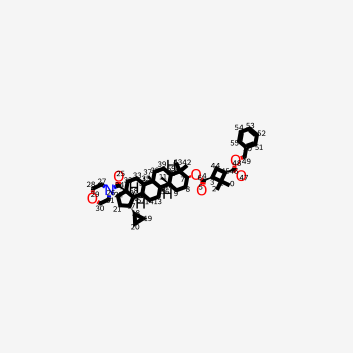 CC1(C)[C@@H](C(=O)O[C@H]2CC[C@]3(C)[C@H]4CC[C@@H]5[C@H]6[C@H](C7CC7)CC[C@]6(C(=O)N6CCOCC6)CC[C@@]5(C)[C@]4(C)CC[C@H]3C2(C)C)C[C@H]1C(=O)OCc1ccccc1